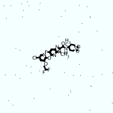 Cn1c(C(=O)NC2(C)CCS(=O)(=O)CC2)nc2cc(F)c(Oc3ncc(Cl)cc3OCC(F)F)nc21